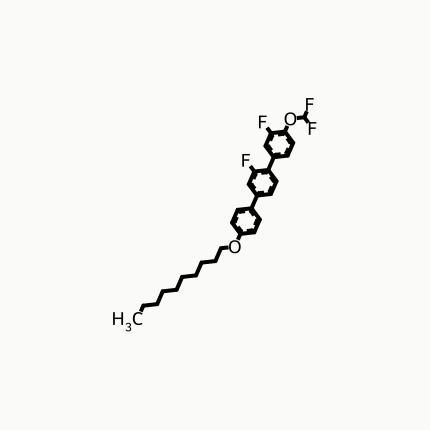 CCCCCCCCCCOc1ccc(-c2ccc(-c3ccc(OC(F)F)c(F)c3)c(F)c2)cc1